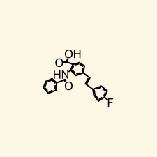 O=C(Nc1cc(C=Cc2ccc(F)cc2)ccc1C(=O)O)c1ccccc1